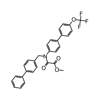 COC(=O)C(=O)N(Cc1ccc(-c2ccccc2)cc1)c1ccc(-c2ccc(OC(F)(F)F)cc2)cc1